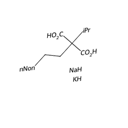 CCCCCCCCCCCC(C(=O)O)(C(=O)O)C(C)C.[KH].[NaH]